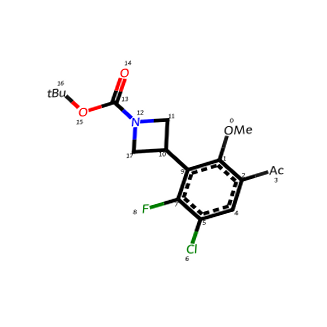 COc1c(C(C)=O)cc(Cl)c(F)c1C1CN(C(=O)OC(C)(C)C)C1